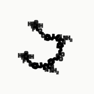 CC(Cc1ccc(OCCCC(F)(F)P(=O)(O)O)cc1)c1cnc2c(N)nc3cc(CCC(=O)OC(=O)CCc4ccc5c(c4)nc(N)c4ncc(C(C)Cc6ccc(OCCOCCC(F)(F)P(=O)(O)O)cc6)cc45)ccc3c2c1